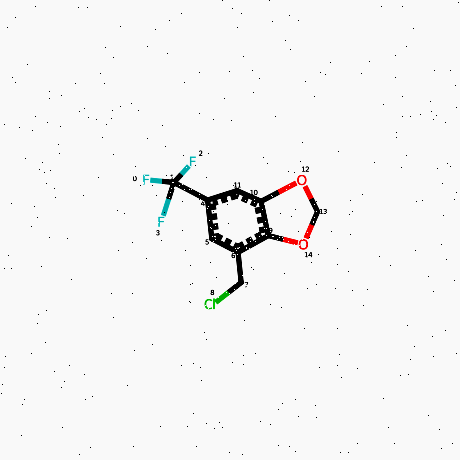 FC(F)(F)c1cc(CCl)c2c(c1)OCO2